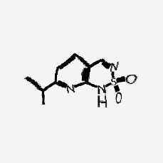 CC(C)c1ccc2c(n1)NS(=O)(=O)N=C2